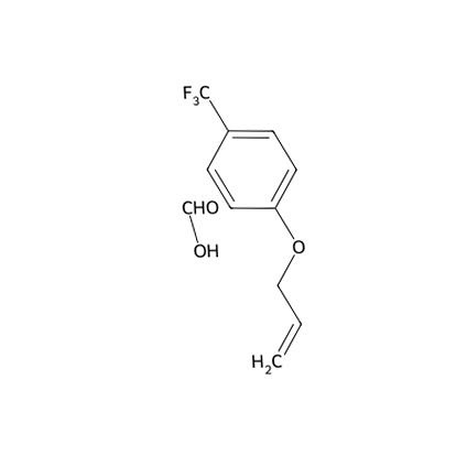 C=CCOc1ccc(C(F)(F)F)cc1.O=CO